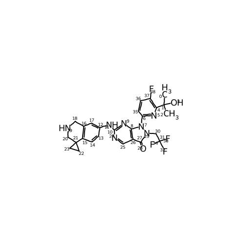 CC(C)(O)c1nc(-n2c3nc(Nc4ccc5c(c4)CNCC54CC4)ncc3c(=O)n2CC(F)(F)F)ccc1F